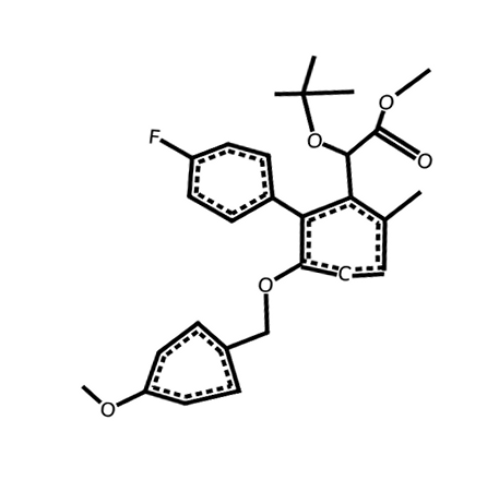 COC(=O)C(OC(C)(C)C)c1c(C)ccc(OCc2ccc(OC)cc2)c1-c1ccc(F)cc1